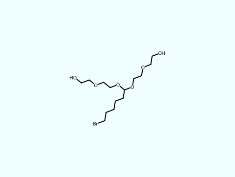 OCCOCCOC(CCCCCBr)OCCOCCO